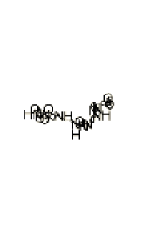 CS(=O)(=O)c1ccc(-c2cccc3nc(Nc4ccc(N5CCN(CC(=O)NCCCCCCNc6ccc7c(c6)C(=O)N(C6CCC(=O)NC6=O)C7=O)C5)cc4)nn23)cc1